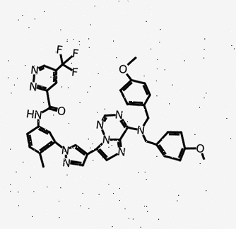 COc1ccc(CN(Cc2ccc(OC)cc2)c2ncnn3c(-c4cnn(-c5cc(NC(=O)c6cc(C(F)(F)F)cnn6)ccc5C)c4)cnc23)cc1